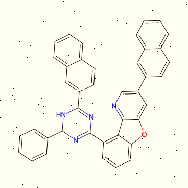 c1ccc(C2N=C(c3cccc4oc5cc(-c6ccc7ccccc7c6)cnc5c34)N=C(c3ccc4ccccc4c3)N2)cc1